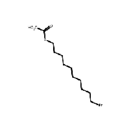 CC(C)CCCCCCCCCCOC(=O)C(=O)O